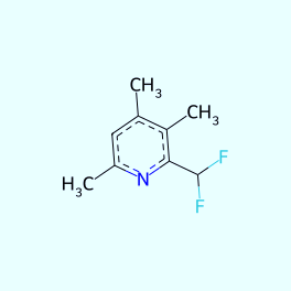 Cc1cc(C)c(C)c(C(F)F)n1